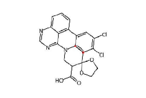 O=C(O)C1CN(c2ncnc3cccc(-c4ccc(Cl)c(Cl)c4)c23)CCC12OCCO2